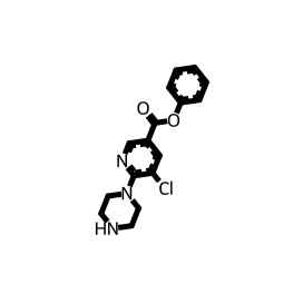 O=C(Oc1ccccc1)c1cnc(N2CCNCC2)c(Cl)c1